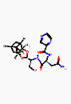 CC(C)C[C@H](NC(=O)[C@H](CC(N)=O)NC(=O)c1cnccn1)B1O[C@@H]2C[C@@H]3C[C@@H](C3(C)C)[C@]2(C)O1